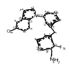 Nc1nccc(Cc2cncc(-n3ccc4cc(Cl)ccc43)c2)c1F